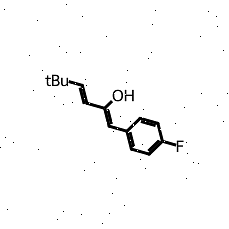 CC(C)(C)C=CC(O)=Cc1ccc(F)cc1